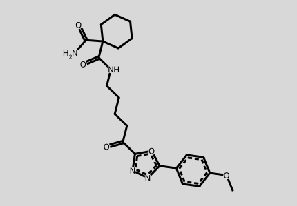 COc1ccc(-c2nnc(C(=O)CCCCNC(=O)C3(C(N)=O)CCCCC3)o2)cc1